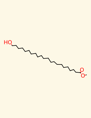 COC(=O)CCCCCCCCCCCCCCCCCCCCCO